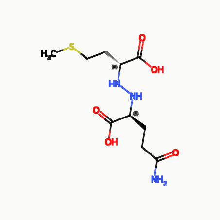 CSCC[C@@H](NN[C@@H](CCC(N)=O)C(=O)O)C(=O)O